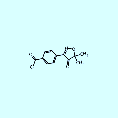 CC1(C)ON=C(c2ccc(C(=O)Cl)cc2)C1=O